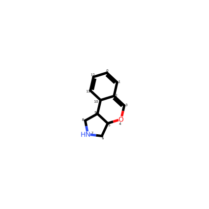 C1=CC2=COC3CNCC3C2C=C1